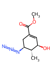 COC(=O)C1=C[C@@H](O)[C@H](C)[C@@H](N=[N+]=[N-])C1